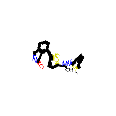 CC(Nc1cccs1)c1ccc(-c2cccc3c2C(=O)N=C3)s1